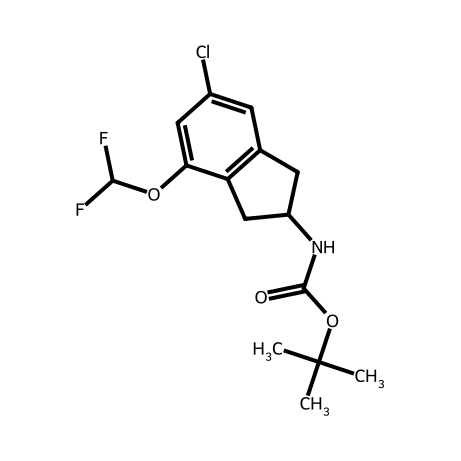 CC(C)(C)OC(=O)NC1Cc2cc(Cl)cc(OC(F)F)c2C1